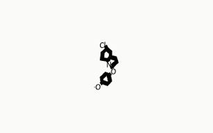 [O]c1ccc(Oc2ccc3cc(Cl)ccc3n2)cc1